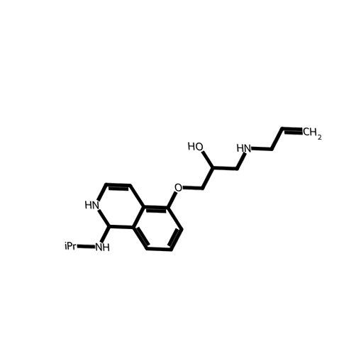 C=CCNCC(O)COc1cccc2c1C=CNC2NC(C)C